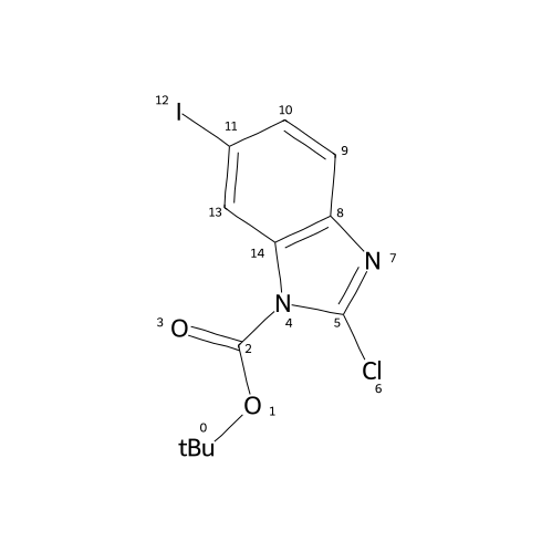 CC(C)(C)OC(=O)n1c(Cl)nc2ccc(I)cc21